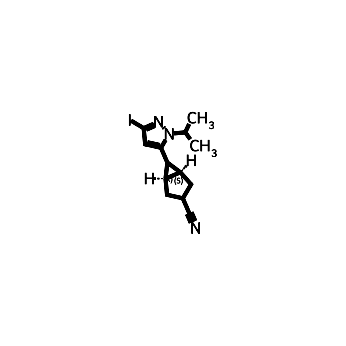 CC(C)n1nc(I)cc1C1[C@H]2CC(C#N)C[C@@H]12